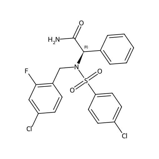 NC(=O)[C@@H](c1ccccc1)N(Cc1ccc(Cl)cc1F)S(=O)(=O)c1ccc(Cl)cc1